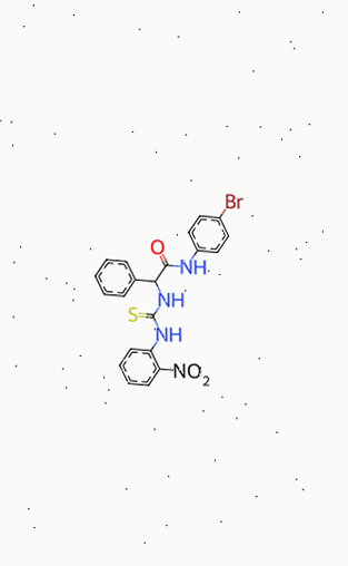 O=C(Nc1ccc(Br)cc1)C(NC(=S)Nc1ccccc1[N+](=O)[O-])c1ccccc1